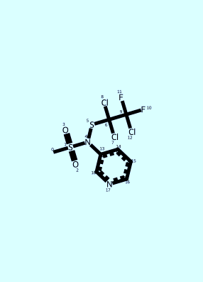 CS(=O)(=O)N(SC(Cl)(Cl)C(F)(F)Cl)c1cccnc1